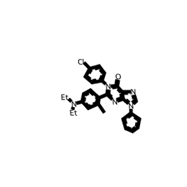 CCN(CC)c1ccc(-c2nc3c(ncn3-c3ccccc3)c(=O)n2-c2ccc(Cl)cc2)c(C)c1